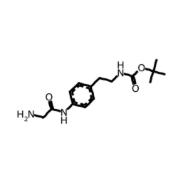 CC(C)(C)OC(=O)NCCc1ccc(NC(=O)CN)cc1